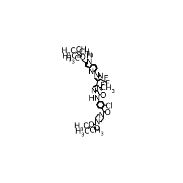 Cn1c(-c2cn(-c3ccc4[nH]c(CO[Si](C)(C)C(C)(C)C)cc4n3)nc2C(F)(F)F)cnc1C(=O)Nc1ccc(C(=O)N2CCN(C(=O)OC(C)(C)C)CC2)c(Cl)c1